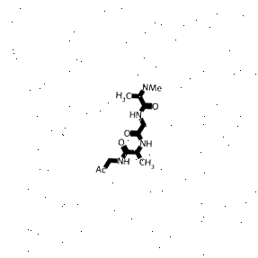 CNC(C)C(=O)NCC(=O)NC(C)C(=O)NCC(C)=O